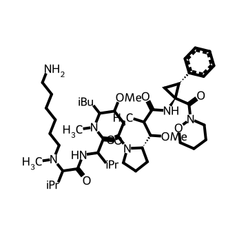 CCC(C)C(C(CC(=O)N1CCC[C@H]1C(OC)C(C)C(=O)N[C@@]1(C(=O)N2CCCCO2)C[C@@H]1c1ccccc1)OC)N(C)C(=O)C(NC(=O)C(C(C)C)N(C)CCCCCCN)C(C)C